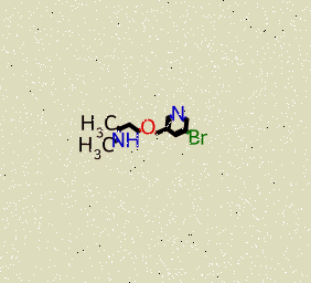 CNC(C)CCOCc1cncc(Br)c1